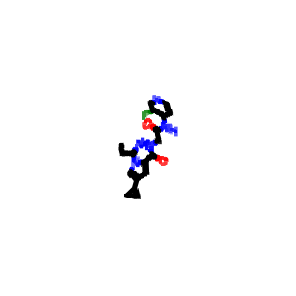 CCc1nn(CC(=O)Nc2ccncc2F)c(=O)c2cc(C3CC3)cn12